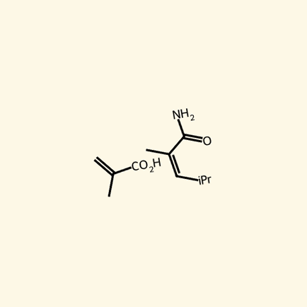 C=C(C)C(=O)O.CC(=CC(C)C)C(N)=O